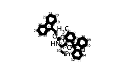 Cc1ccc(C(OC(=O)[C@H](CC(C)C)NC(=O)OCC2c3ccccc3-c3ccccc32)(c2ccccc2)c2ccccc2Cl)cc1